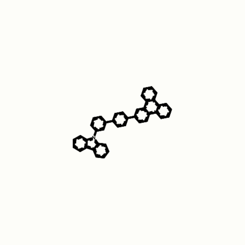 c1cc(-c2ccc(-c3ccc4c5ccccc5c5ccccc5c4c3)cc2)cc(-n2c3ccccc3c3ccccc32)c1